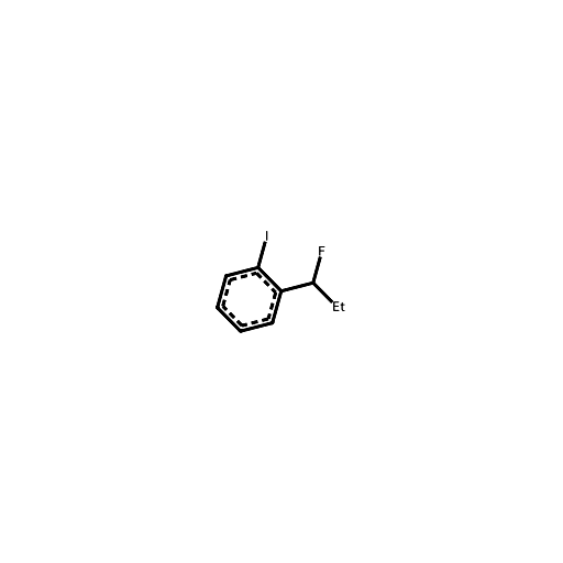 CCC(F)c1ccccc1I